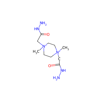 C[N+]1(CC(=O)NN)CC[N+](C)(CC(=O)NN)CC1